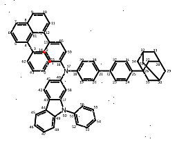 c1ccc(-c2cccc3cccc(-c4ccc(N(c5ccc(-c6ccc(C78CC9CC(CC(C9)C7)C8)cc6)cc5)c5ccc6c7ccccc7n(-c7ccccc7)c6c5)cc4)c23)cc1